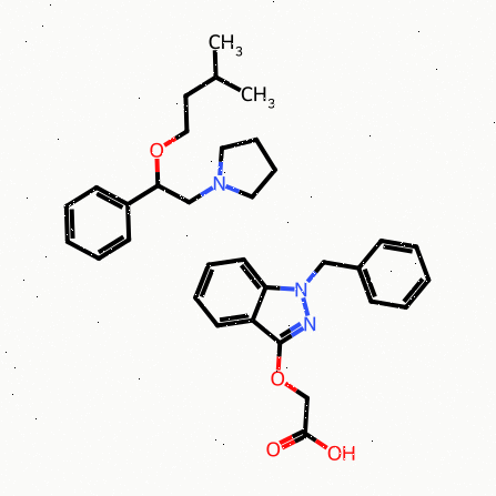 CC(C)CCOC(CN1CCCC1)c1ccccc1.O=C(O)COc1nn(Cc2ccccc2)c2ccccc12